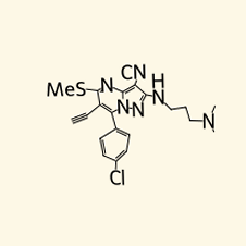 C#Cc1c(SC)nc2c(C#N)c(NCCCN(C)C)nn2c1-c1ccc(Cl)cc1